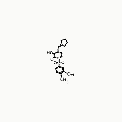 Cc1ccc(S(=O)(=O)n2ccc(CN3CCCC3)c(O)c2=O)cc1O